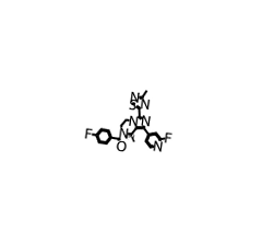 Cc1nsc(-c2nc(-c3ccnc(F)c3)c3n2CCN(C(=O)c2ccc(F)cc2)[C@@H]3C)n1